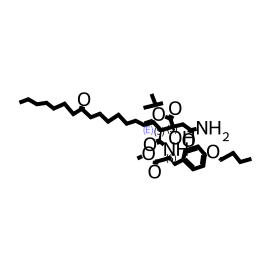 CCCCCCCC(=O)CCCCCC/C=C/[C@H](C(=O)N[C@@H](Cc1ccc(OCCCC)cc1)C(=O)OC)[C@@](O)(CC(N)=O)C(=O)OC(C)(C)C